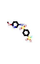 COc1ccc(NS(=O)(=O)c2ccc(S(=O)(=O)F)cc2)cn1